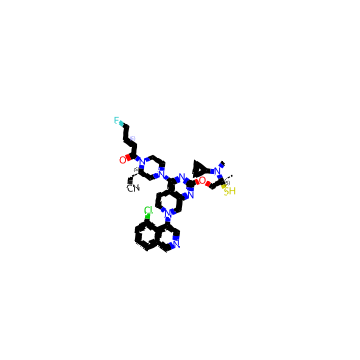 CN(C1CC1)[C@@](C)(S)COc1nc2c(c(N3CCN(C(=O)/C=C/CF)[C@@H](CC#N)C3)n1)CCN(c1cncc3cccc(Cl)c13)C2